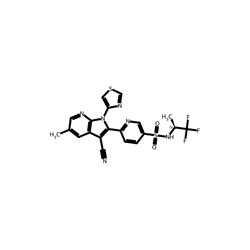 Cc1cnc2c(c1)c(C#N)c(-c1ccc(S(=O)(=O)N[C@@H](C)C(F)(F)F)cn1)n2-c1cscn1